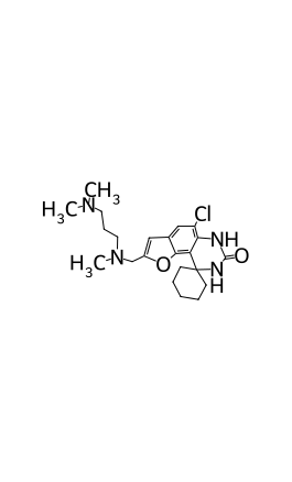 CN(C)CCCN(C)Cc1cc2cc(Cl)c3c(c2o1)C1(CCCCC1)NC(=O)N3